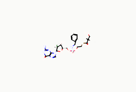 CC(C)(CO)C(=O)SCCO[P@@](=O)(NCc1ccccc1)OC[C@H]1O[C@@H](n2cnc3c(=O)[nH]c(N)nc32)[C@](C)(Cl)[C@@H]1O